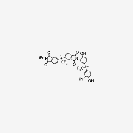 CC(C)c1cc(C(C)(c2ccc(O)c(N3C(=O)c4ccc(C(C)(c5ccc6c(c5)C(=O)N(C(C)C)C6=O)C(F)(F)F)cc4C3=O)c2)C(F)(F)F)ccc1O